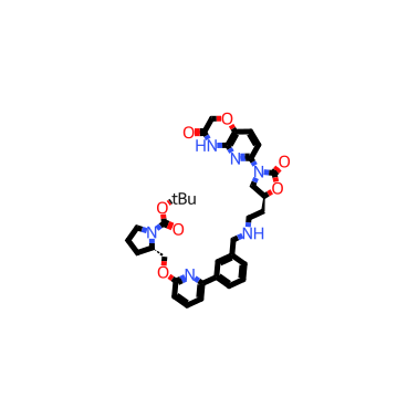 CC(C)(C)OC(=O)N1CCC[C@H]1COc1cccc(-c2cccc(CNCC[C@H]3CN(c4ccc5c(n4)NC(=O)CO5)C(=O)O3)c2)n1